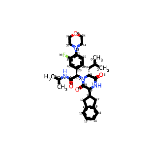 CC(C)C[C@@H]1C(=O)NC(C2Cc3ccccc3C2)C(=O)N1[C@@H](C(=O)NC(C)C)c1ccc(N2CCOCC2)c(F)c1